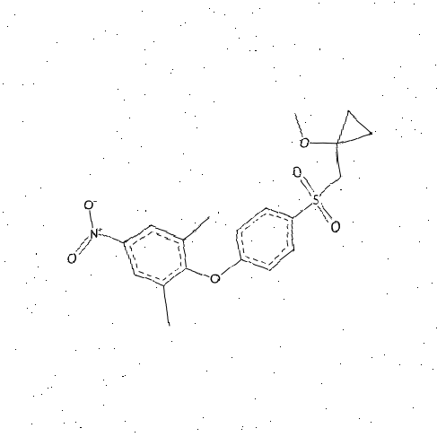 COC1(CS(=O)(=O)c2ccc(Oc3c(C)cc([N+](=O)[O-])cc3C)cc2)CC1